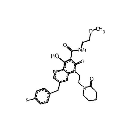 COCCNC(=O)c1c(O)c2ncc(Cc3ccc(F)cc3)cc2n(CCN2CCCCC2=O)c1=O